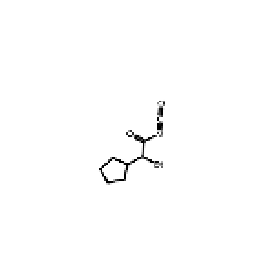 CCC(C(=O)N=C=O)C1CCCC1